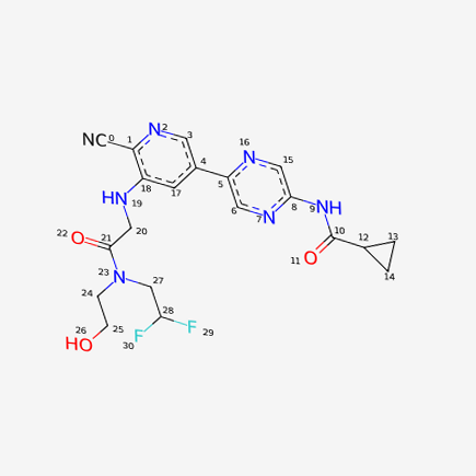 N#Cc1ncc(-c2cnc(NC(=O)C3CC3)cn2)cc1NCC(=O)N(CCO)CC(F)F